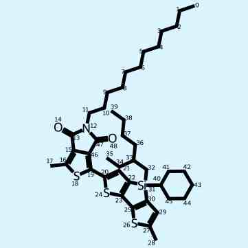 CCCCCCCCCCCCN1C(=O)c2c(C)sc(-c3cc4c(s3)-c3sc(C)cc3[Si]4(CC(CC)CCCC)C3CCCCC3)c2C1=O